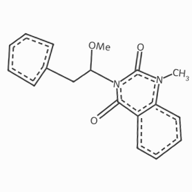 COC(Cc1ccccc1)n1c(=O)c2ccccc2n(C)c1=O